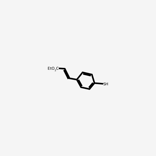 CCOC(=O)/C=C/c1ccc(S)cc1